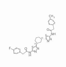 Cc1ccc(CC(=O)Nc2nnc([C@H]3CCC[C@H](c4nnc(NC(=O)Cc5ccc(F)cc5)s4)C3)s2)cc1